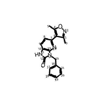 Cc1noc(C)c1-c1ccc2[nH]c(=O)n(Cc3ccccc3)c2n1